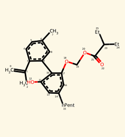 C=C(C)c1ccc(C)cc1-c1c(O)cc(CCCCC)cc1OCOC(=O)C(CC)CC